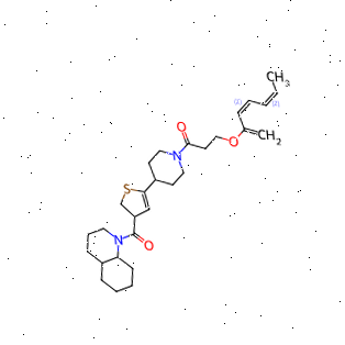 C=C(/C=C\C=C/C)OCCC(=O)N1CCC(C2=CC(C(=O)N3CCCC4CCCCC43)CS2)CC1